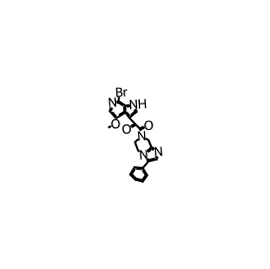 COc1cnc(Br)c2[nH]cc(C(=O)C(=O)N3CCn4c(-c5ccccc5)cnc4C3)c12